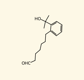 CC(C)(O)c1ccccc1CCCCCCC=O